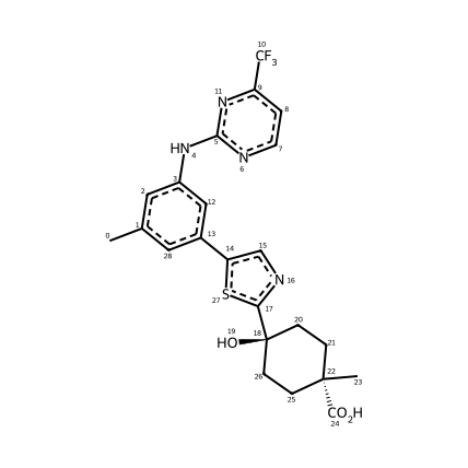 Cc1cc(Nc2nccc(C(F)(F)F)n2)cc(-c2cnc([C@]3(O)CC[C@](C)(C(=O)O)CC3)s2)c1